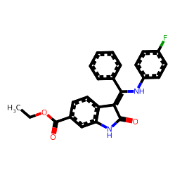 CCOC(=O)c1ccc2c(c1)NC(=O)/C2=C(\Nc1ccc(F)cc1)c1ccccc1